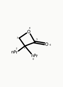 CCCC1(CCC)COC1=O